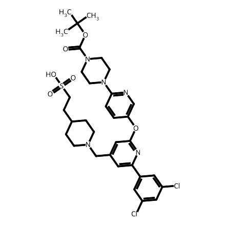 CC(C)(C)OC(=O)N1CCN(c2ccc(Oc3cc(CN4CCC(CCS(=O)(=O)O)CC4)cc(-c4cc(Cl)cc(Cl)c4)n3)cn2)CC1